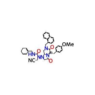 COc1ccc(C[C@H]2C(=O)N(Cc3cccc4ccccc34)CC3N2C(=O)CN3N(CC#N)C(=O)NCC2=CCCC=C2)cc1